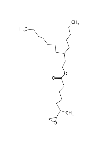 CCCCCCCC(CCCCC)CCOC(=O)CCCCC(C)C1CO1